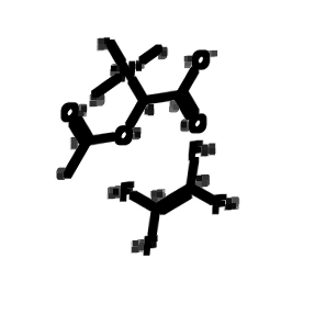 CC(=O)OC(C(=O)[O-])[N+](C)(C)C.FC(F)=C(F)F